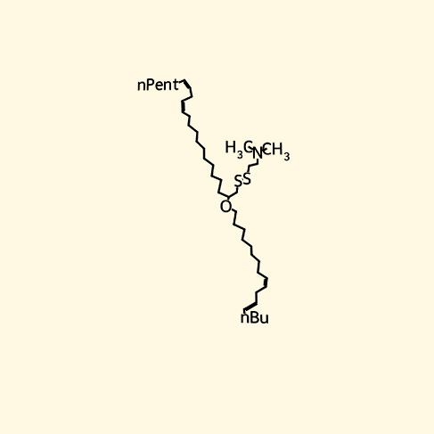 CCCC/C=C/C/C=C\CCCCCCCCOC(CCCCCCCCCC/C=C\C/C=C\CCCCC)CSSCCN(C)C